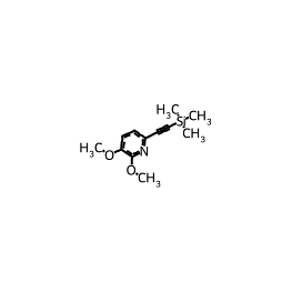 COc1ccc(C#C[Si](C)(C)C)nc1OC